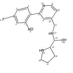 O=Nc1cc(F)ccc1-c1cc(CNC(O)C2CCCN2)ccn1